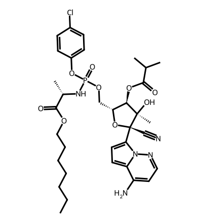 CCCCCCCOC(=O)[C@H](C)NP(=O)(OC[C@H]1O[C@@](C#N)(c2ccc3c(N)ccnn23)[C@](C)(O)[C@@H]1OC(=O)C(C)C)Oc1ccc(Cl)cc1